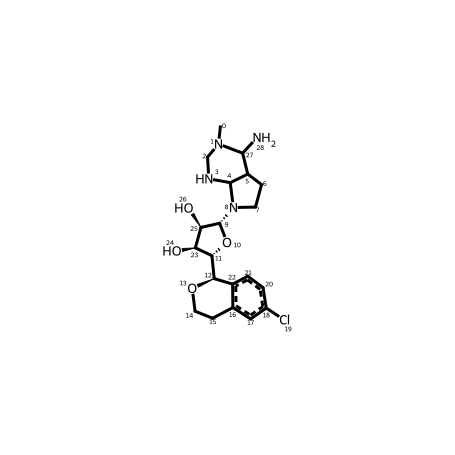 CN1CNC2C(CCN2[C@@H]2O[C@H]([C@@H]3OCCc4cc(Cl)ccc43)[C@@H](O)[C@H]2O)C1N